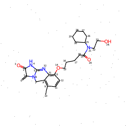 C=c1c(=O)[nH]c2n1Cc1c(C)ccc(OCCCCC(=O)N(CCO)C3CCCCC3)c1N=2